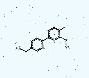 COc1nc(-c2ccc(CN)cc2)ccc1F